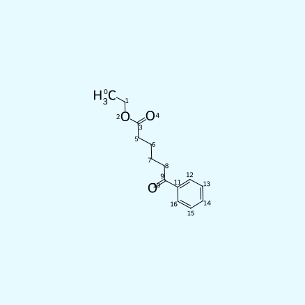 CCOC(=O)CCCCC(=O)c1ccccc1